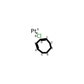 C1=CCCCCC=C1.[Cl][Pt]